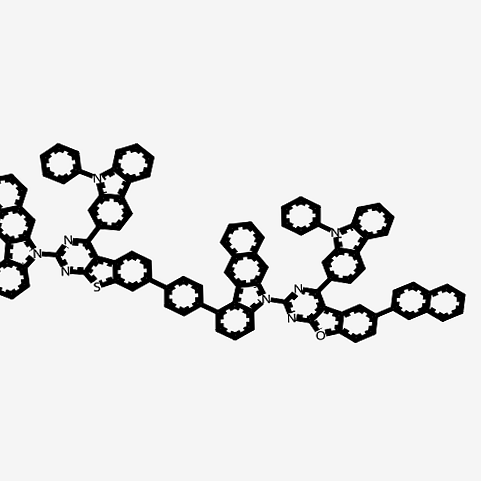 c1ccc(-n2c3ccccc3c3ccc(-c4nc(-n5c6cc7ccccc7cc6c6c(-c7ccc(-c8ccc9c(c8)sc8nc(-n%10c%11ccccc%11c%11cc%12ccccc%12cc%11%10)nc(-c%10ccc%11c%12ccccc%12n(-c%12ccccc%12)c%11c%10)c89)cc7)cccc65)nc5oc6ccc(-c7ccc8ccccc8c7)cc6c45)cc32)cc1